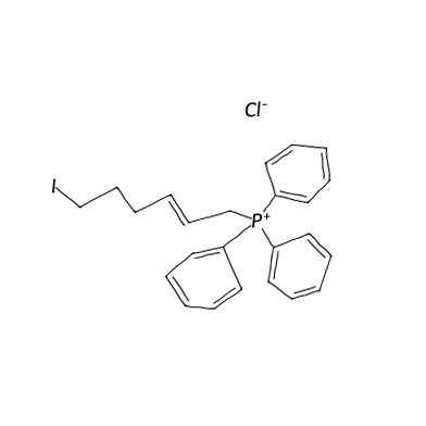 ICCCC=CC[P+](c1ccccc1)(c1ccccc1)c1ccccc1.[Cl-]